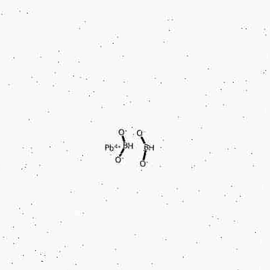 [O-]B[O-].[O-]B[O-].[Pb+4]